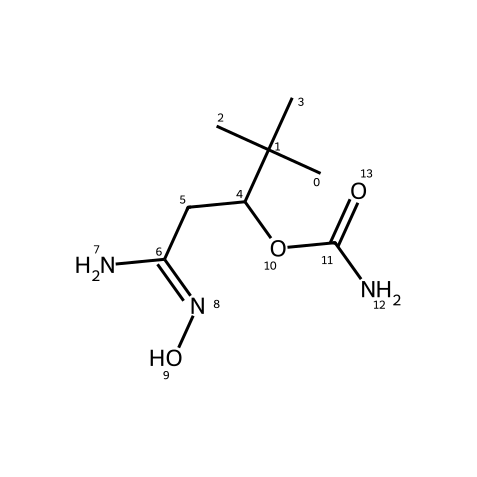 CC(C)(C)C(CC(N)=NO)OC(N)=O